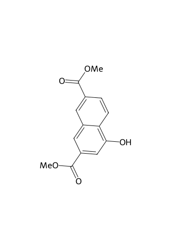 COC(=O)c1ccc2c(O)cc(C(=O)OC)cc2c1